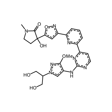 COc1nn(C(CO)CO)cc1Nc1nccc(-c2cccc(-c3cc(C4(O)CCN(C)C4=O)on3)n2)n1